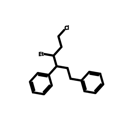 CCC(CCCl)C(CCc1ccccc1)c1ccccc1